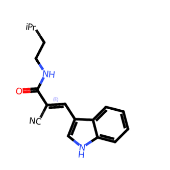 CC(C)CCNC(=O)/C(C#N)=C/c1c[nH]c2ccccc12